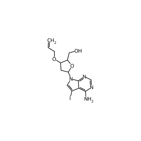 C=CCOC1CC(n2cc(I)c3c(N)ncnc32)OC1CO